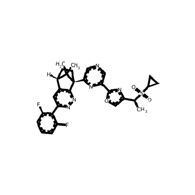 CC(c1coc(-c2cncc([C@@]34CC[C@@H](c5cc(-c6c(F)cccc6F)nnc53)C4(C)C)n2)n1)S(=O)(=O)C1CC1